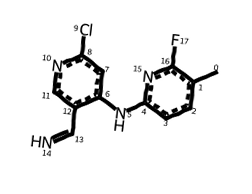 Cc1ccc(Nc2cc(Cl)ncc2C=N)nc1F